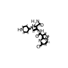 NC(=O)c1nn(C2CCNCC2)cc1NC(=O)c1cnn2ccc(Cl)nc12